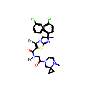 CC(C)C1=C(C(=O)N(CC(=O)N2CCN(C)C3(CC3)C2)C(C)C)SC2=N[C@@](C)(c3ccc(Cl)cc3)[C@@H](c3ccc(Cl)cc3)N21